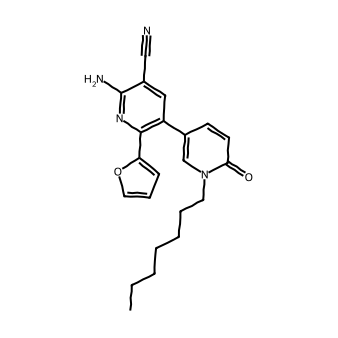 CCCCCCCn1cc(-c2cc(C#N)c(N)nc2-c2ccco2)ccc1=O